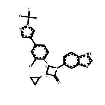 O=C1[C@H](C2CC2)[C@H](c2ccc(-c3cnn(C(F)(F)F)c3)cc2Cl)N1c1ccc2[nH]cnc2c1